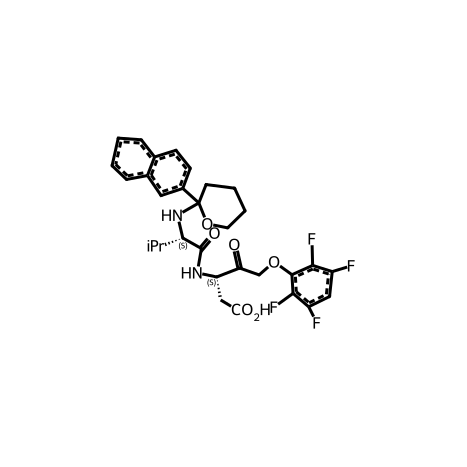 CC(C)[C@H](NC1(c2ccc3ccccc3c2)CCCCO1)C(=O)N[C@@H](CC(=O)O)C(=O)COc1c(F)c(F)cc(F)c1F